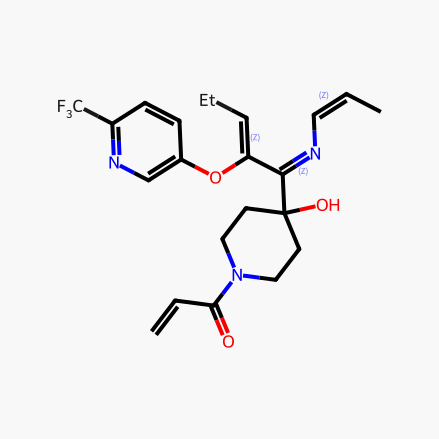 C=CC(=O)N1CCC(O)(C(=N/C=C\C)/C(=C/CC)Oc2ccc(C(F)(F)F)nc2)CC1